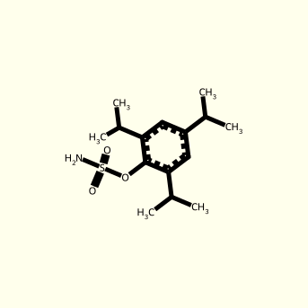 CC(C)c1cc(C(C)C)c(OS(N)(=O)=O)c(C(C)C)c1